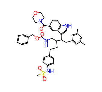 Cc1cc(C)cc(CC(c2c[nH]c3ccc(C(=O)N4CCOCC4)cc23)C(CCc2ccc(NS(C)(=O)=O)cc2)CNC(=O)OCc2ccccc2)c1